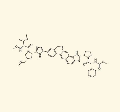 COC[C@H]1C[C@@H](c2ncc(-c3ccc4c(c3)COc3cc5c(ccc6nc([C@@H]7CCCN7C(=O)[C@H](NC(=O)OC)c7ccccc7)[nH]c65)cc3-4)[nH]2)N(C(=O)[C@@H](NOC)[C@@H](C)OC)C1